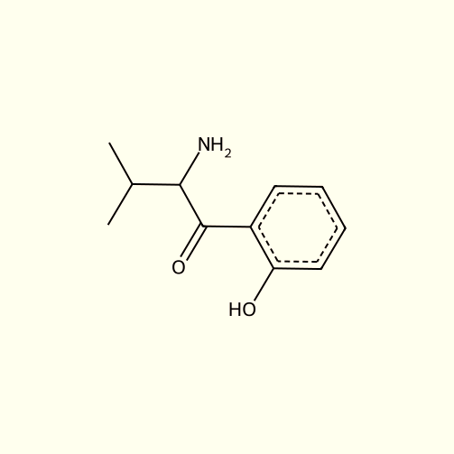 CC(C)C(N)C(=O)c1ccccc1O